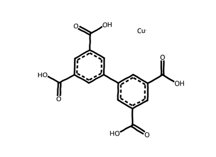 O=C(O)c1cc(C(=O)O)cc(-c2cc(C(=O)O)cc(C(=O)O)c2)c1.[Cu]